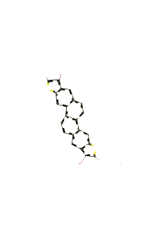 CCCCCCc1sc2cc3c(ccc4c5cc6sc(CCCCCC)c(I)c6cc5ccc34)cc2c1I